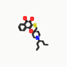 CCCC(CCC)N1CCC2(CC1)CSC1=C(O2)c2ccccc2C(=O)C1=O